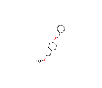 COC=CC1CCC(OCc2ccccc2)CC1